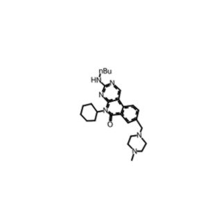 CCCCNc1ncc2c3ccc(CN4CCN(C)CC4)cc3c(=O)n(C3CCCCC3)c2n1